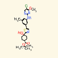 COc1nc(Nc2cc(C)cc(-c3cnc([C@]4(O)CC[C@@H](C(=O)OC(C)(C)C)CC4)s3)c2)ncc1Cl